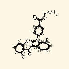 CCOC(=O)c1ccc(-n2nc(C(=O)c3c(Cl)cccc3Cl)c3cccc(F)c32)cc1